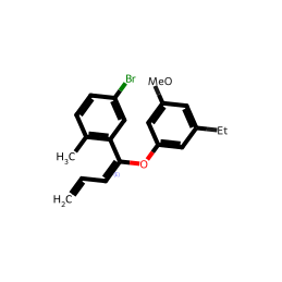 C=C/C=C(/Oc1cc(CC)cc(OC)c1)c1cc(Br)ccc1C